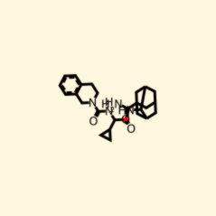 NC(=O)C12CC3CC(C1)C(NC(=O)C(NC(=O)N1CCc4ccccc4C1)C1CC1)C(C3)C2